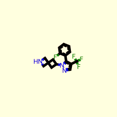 Fc1ccccc1-c1c(C(F)(F)F)cnn1C1CC2(CNC2)C1